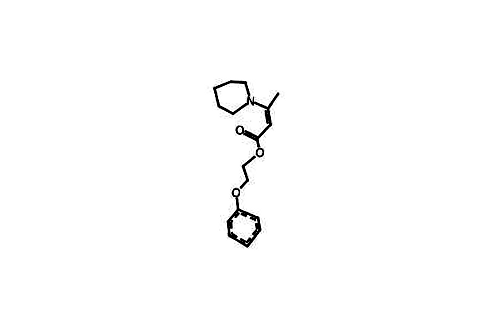 C/C(=C/C(=O)OCCOc1ccccc1)N1CCCCC1